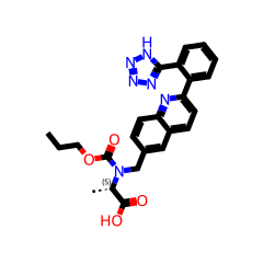 CCCOC(=O)N(Cc1ccc2nc(-c3ccccc3-c3nnn[nH]3)ccc2c1)[C@@H](C)C(=O)O